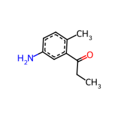 CCC(=O)c1cc(N)ccc1C